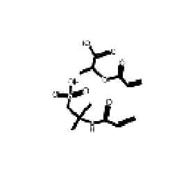 C=CC(=O)NC(C)(C)CS(=O)(=O)O.C=CC(=O)OC(C)C(=O)O